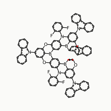 Fc1cccc(F)c1N1c2cc3c(cc2B2c4ccccc4Oc4cc(-n5c6ccccc6c6ccccc65)cc1c42)B1c2cc4c(cc2Oc2cc(-n5c6ccccc6c6ccccc65)cc(c21)O3)N(c1c(F)cccc1F)c1cc(-n2c3ccccc3c3ccccc32)cc2c1B4c1cccc3c4ccccc4n-2c13